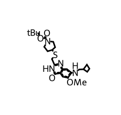 COc1cc2c(=O)[nH]c(CSC3CCN(C(=O)OC(C)(C)C)CC3)nc2cc1NCC1CCC1